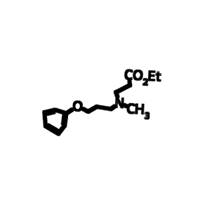 CCOC(=O)CCN(C)CCCOc1ccccc1